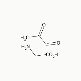 CC(=O)C=O.NCC(=O)O